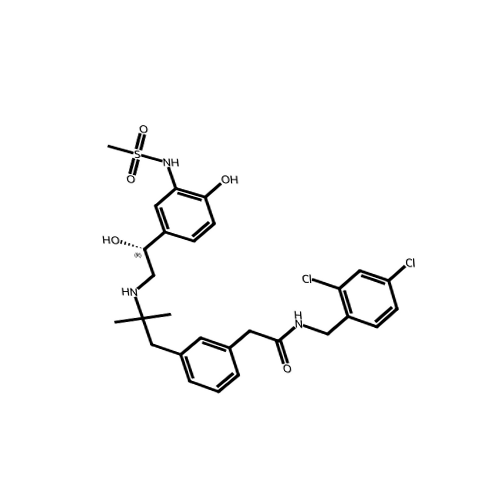 CC(C)(Cc1cccc(CC(=O)NCc2ccc(Cl)cc2Cl)c1)NC[C@H](O)c1ccc(O)c(NS(C)(=O)=O)c1